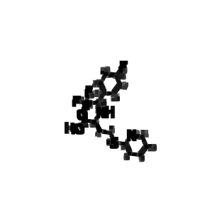 O=C(O)[C@H](CCSc1ccccn1)NC(c1ccc(F)cc1)C(F)(F)F